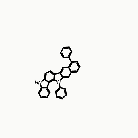 c1ccc(-c2cccc3cc4c(cc23)c2ccc3[nH]c5ccccc5c3c2n4-c2ccccc2)cc1